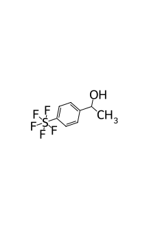 CC(O)c1ccc(S(F)(F)(F)(F)F)cc1